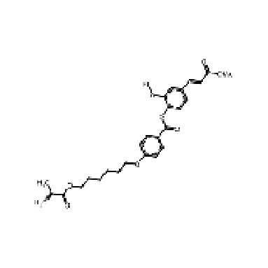 C=C(C)C(=O)OCCCCCCOc1ccc(C(=O)Oc2ccc(C=CC(=O)OC)cc2OCC)cc1